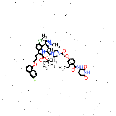 CCc1cc(OCC(=O)N2CCN(CCn3c(C(=O)OC(C)(C)C)c(CCCOc4cccc5cc(F)ccc45)c4ccc(Cl)c(-c5c(C)nn(C)c5C)c43)CC2)ccc1C(=O)NC1CCC(=O)NC1=O